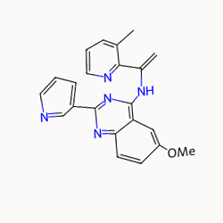 C=C(Nc1nc(-c2cccnc2)nc2ccc(OC)cc12)c1ncccc1C